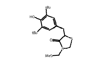 CSCN1CSC(Cc2cc(C(C)(C)C)c(O)c(C(C)(C)C)c2)C1=O